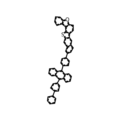 c1ccc(-c2ccc(-c3c4ccccc4c(-c4ccc(-c5ccc6cc7c(cc6c5)sc5c7ccc6oc7ccccc7c65)cc4)c4ccccc34)cc2)cc1